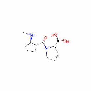 CN[C@@H]1CCC[C@H]1C(=O)N1CCC[C@H]1B(O)O